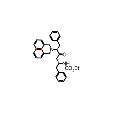 CCOC(=O)N[C@H](CC(=O)[C@H](Cc1ccccc1)N(Cc1ccccc1)Cc1ccccc1)Cc1ccccc1